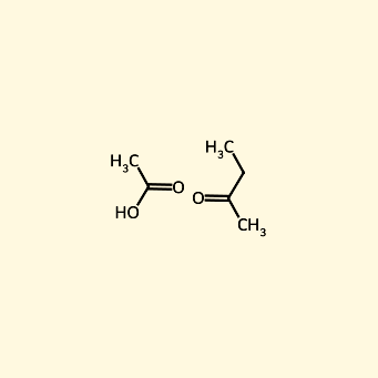 CC(=O)O.CCC(C)=O